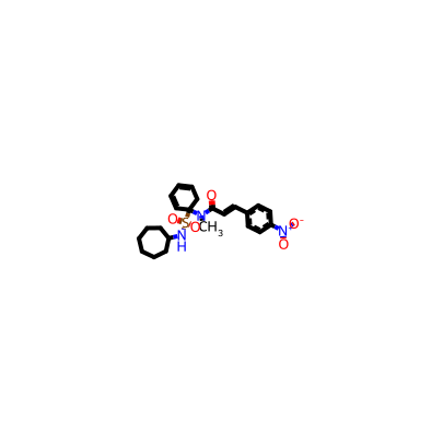 CN(C(=O)C=Cc1ccc([N+](=O)[O-])cc1)C1(S(=O)(=O)NC2CCCCCC2)C=CC=CC1